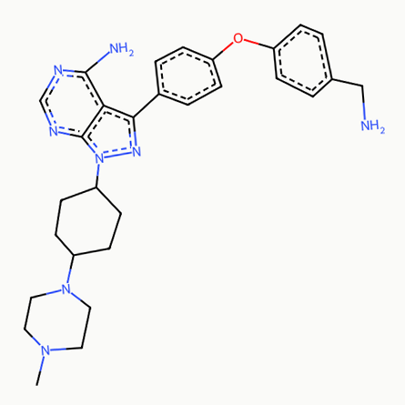 CN1CCN(C2CCC(n3nc(-c4ccc(Oc5ccc(CN)cc5)cc4)c4c(N)ncnc43)CC2)CC1